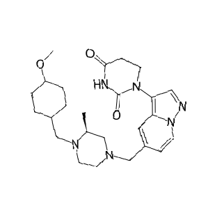 COC1CCC(CN2CCN(Cc3ccn4ncc(N5CCC(=O)NC5=O)c4c3)C[C@@H]2C)CC1